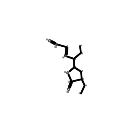 CCC1CC(C(CC)/N=C/B=O)OC1=O